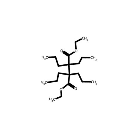 CCCC(CCC)(C(=O)OCC)C(CCC)(CCC)C(=O)OCC